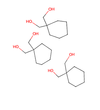 OCC1(CO)CCCCC1.OCC1(CO)CCCCC1.OCC1(CO)CCCCC1